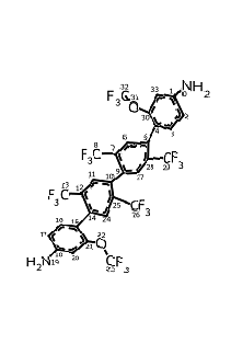 Nc1ccc(-c2cc(C(F)(F)F)c(-c3cc(C(F)(F)F)c(-c4ccc(N)cc4OC(F)(F)F)cc3C(F)(F)F)cc2C(F)(F)F)c(OC(F)(F)F)c1